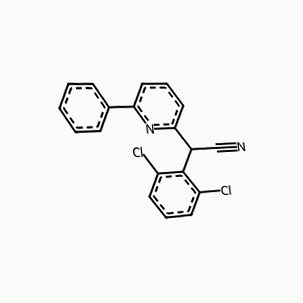 N#CC(c1cccc(-c2ccccc2)n1)c1c(Cl)cccc1Cl